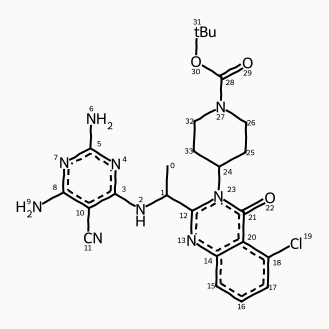 CC(Nc1nc(N)nc(N)c1C#N)c1nc2cccc(Cl)c2c(=O)n1C1CCN(C(=O)OC(C)(C)C)CC1